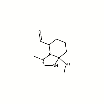 CNN1C(C=O)CCCC1(NC)NC